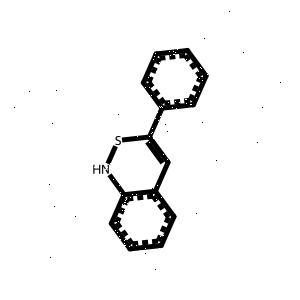 C1=C(c2ccccc2)SNc2ccccc21